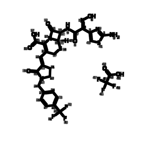 Nc1nc(C(=NO)C(=O)N[C@@H]2C(=O)N3C(C(=O)O)=C(C=C4CCN(Cc5ccc(C(F)(F)F)cc5)C4=O)CS[C@H]23)cs1.O=C(O)C(F)(F)F